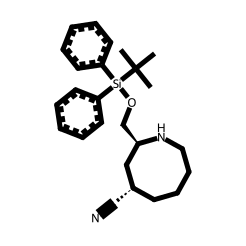 CC(C)(C)[Si](OC[C@@H]1C[C@@H](C#N)CCCCN1)(c1ccccc1)c1ccccc1